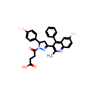 Bc1ccc(C2CC(c3c(C)nc4ccc(B)cc4c3-c3ccccc3)=NN2C(=O)CCC(=O)O)cc1